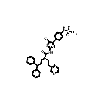 CS(=O)(=O)Nc1ccc(-c2nc(NC(=O)N(CCc3cnccn3)CCC(c3ccccc3)c3ccccc3)sc2Cl)cc1